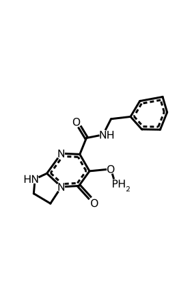 O=C(NCc1ccccc1)c1nc2n(c(=O)c1OP)CCN2